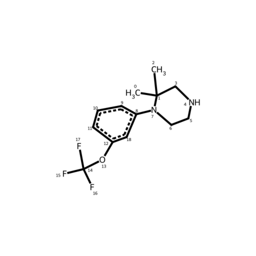 CC1(C)CNCCN1c1cccc(OC(F)(F)F)c1